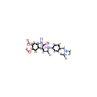 CCN(Cc1ccc(NC(C)C=C2C(=O)Nc3cc(OC)c(OC)cc32)cc1)C(C)C